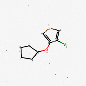 Brc1cscc1OC1CCCC1